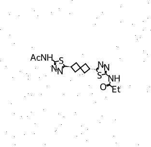 CCC(=O)Nc1nnc([C@H]2CC3(C[C@H](c4nnc(NC(C)=O)s4)C3)C2)s1